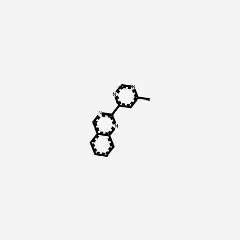 Cc1cc(-c2ncc3ccccc3n2)ncn1